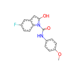 COc1ccc(NC(=O)n2c(O)cc3cc(F)ccc32)cc1